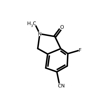 CN1Cc2cc(C#N)cc(F)c2C1=O